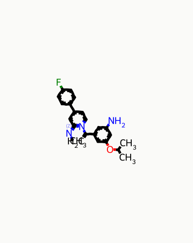 C=C(c1cc(N)cc(OC(C)C)c1)n1ccc(-c2ccc(F)cc2)c/c1=N/C